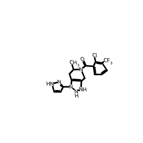 CC1CC2=C(CN1C(=O)c1cccc(C(F)(F)F)c1Cl)NNN2c1cc[nH]n1